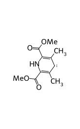 COC(=O)C1=C(C)[C]C(C)=C(C(=O)OC)N1